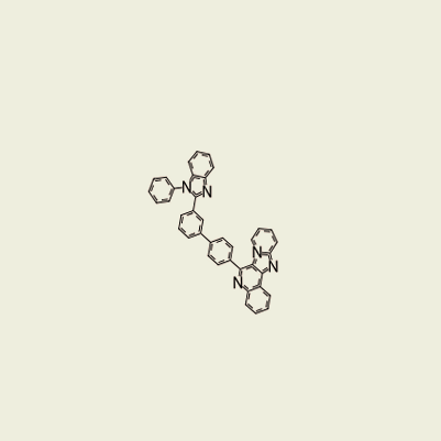 c1ccc(-n2c(-c3cccc(-c4ccc(-c5nc6ccccc6c6nc7ccccn7c56)cc4)c3)nc3ccccc32)cc1